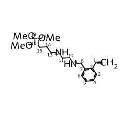 C=Cc1ccccc1CNCCNCC[CH2][Ti]([O]C)([O]C)[O]C